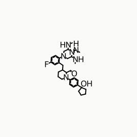 CNC1CN(c2ccc(F)cc2CC2CCCN(c3ccc(C4(O)CCCC4)cc3)C2C=O)CC(NC)N1NC